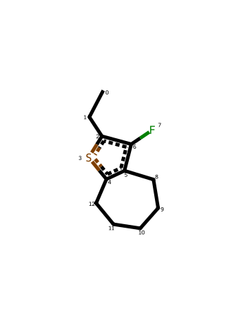 CCc1sc2c(c1F)CCCCC2